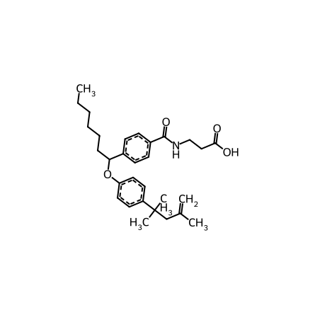 C=C(C)CC(C)(C)c1ccc(OC(CCCCCC)c2ccc(C(=O)NCCC(=O)O)cc2)cc1